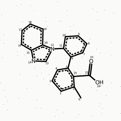 Cc1cccc(-c2ccccc2-n2cnc3ccccc32)c1C(=O)O